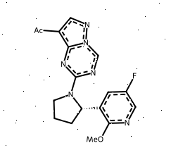 COc1ncc(F)cc1[C@@H]1CCCN1c1ncn2ncc(C(C)=O)c2n1